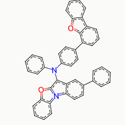 c1ccc(-c2ccc3c(c2)c(N(c2ccccc2)c2ccc(-c4cccc5c4oc4ccccc45)cc2)c2oc4ccccc4n23)cc1